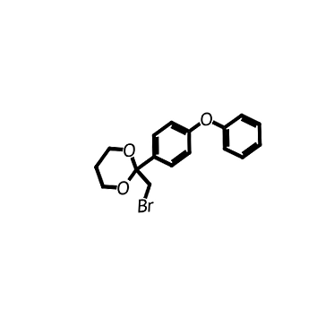 BrCC1(c2ccc(Oc3ccccc3)cc2)OCCCO1